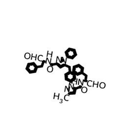 Cc1cc(C(=O)NC(C=O)Cc2ccccc2)n(-c2ccc(Cc3cc(C(=O)NC(C=O)Cc4ccccc4)nn3-c3ccccc3)cc2)n1